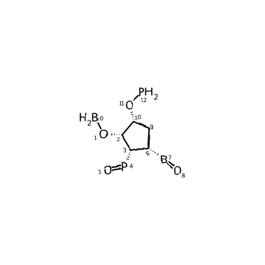 BO[C@H]1[C@@H](P=O)[C@@H](B=O)C[C@H]1OP